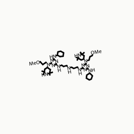 COCCCN(c1nc(NCCCNCCCNc2nc(NC3CCCCC3)nc(N(CCCOC)C3CC(C)(C)NC(C)(C)C3)n2)nc(NC2CCCCC2)n1)C1CC(C)(C)NC(C)(C)C1